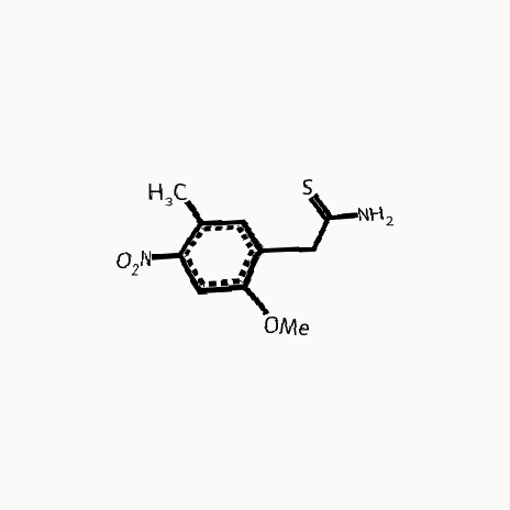 COc1cc([N+](=O)[O-])c(C)cc1CC(N)=S